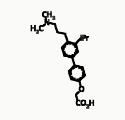 CC(C)c1cc(-c2ccc(OCC(=O)O)cc2)ccc1CCCN(C)C